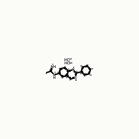 CC(=N)Nc1ccc2nc(-c3ccccc3)ncc2c1.Cl.Cl